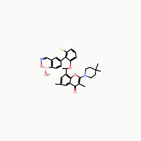 Cc1cc(C(C)Oc2cccc(F)c2-c2ccc3c(c2)C=NOB3O)c2oc(N3CCC(C)(C)CC3)c(C)c(=O)c2c1